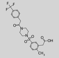 Cc1ccc(S(=O)(=O)N2CCN(C(=O)Cc3ccc(C(F)(F)F)cc3)CC2)cc1CC(=O)O